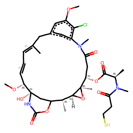 COc1cc2cc(c1Cl)N(C)C(=O)C[C@H](OC(=O)[C@@H](C)N(C)C(=O)CCS)[C@@]1(C)O[C@H]1[C@H](C)C1C[C@@](O)(NC(=O)O1)[C@H](OC)/C=C/C=C(\C)C2